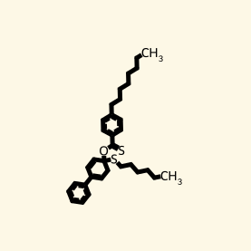 CCCCCCCCc1ccc(C(=S)OC2(SCCCCCC)C=CC(c3ccccc3)=CC2)cc1